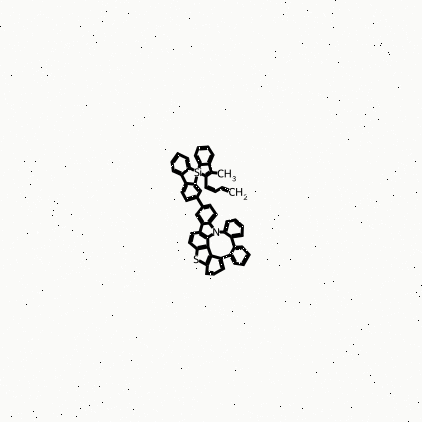 C=C/C=C\C1=C(C)c2ccccc2[Si]12c1ccccc1-c1ccc(-c3ccc4c(c3)c3ccc5sc6cccc7c8ccccc8c8ccccc8n4c3c5c67)cc12